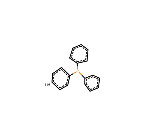 [LiH].c1ccc(P(c2ccccc2)c2ccccc2)cc1